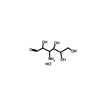 Cl.NC(C(O)C=O)C(O)C(O)CO